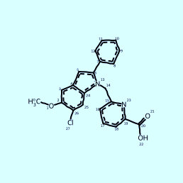 COc1cc2cc(-c3ccccc3)n(Cc3cccc(C(=O)O)n3)c2cc1Cl